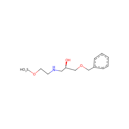 O=S(=O)(O)OCCNC[C@@H](O)COCc1ccccc1